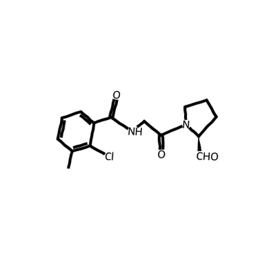 Cc1cccc(C(=O)NCC(=O)N2CCC[C@H]2C=O)c1Cl